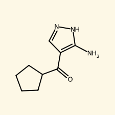 Nc1[nH]ncc1C(=O)C1CCCC1